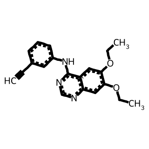 C#Cc1cccc(Nc2ncnc3cc(OCC)c(OCC)cc23)c1